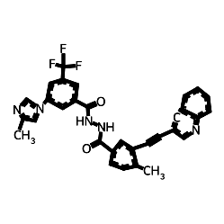 Cc1cn(-c2cc(C(=O)NNC(=O)c3ccc(C)c(C#Cc4cnc5ccccc5c4)c3)cc(C(F)(F)F)c2)cn1